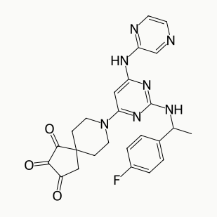 CC(Nc1nc(Nc2cnccn2)cc(N2CCC3(CC2)CC(=O)C(=O)C3=O)n1)c1ccc(F)cc1